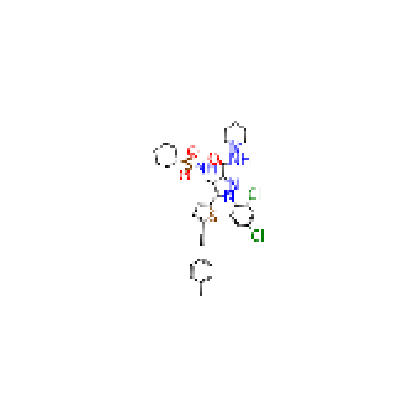 Cc1ccc(C#Cc2ccc(-c3c(CNS(=O)(=O)C4CCCCC4)c(C(=O)NN4CCCCC4)nn3-c3ccc(Cl)cc3Cl)s2)cc1